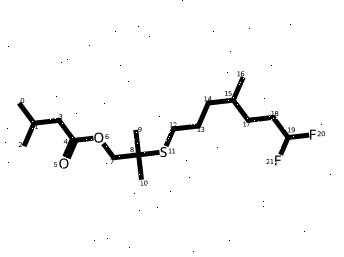 CC(C)CC(=O)OCC(C)(C)SCCCC(C)CCC(F)F